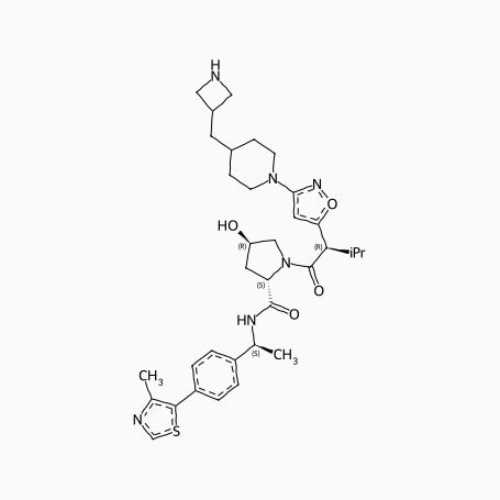 Cc1ncsc1-c1ccc([C@H](C)NC(=O)[C@@H]2C[C@@H](O)CN2C(=O)[C@@H](c2cc(N3CCC(CC4CNC4)CC3)no2)C(C)C)cc1